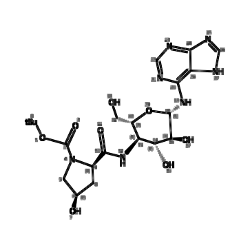 CC(C)(C)OC(=O)N1C[C@H](O)C[C@@H]1C(=O)N[C@@H]1[C@@H](O)[C@H](O)[C@@H](Nc2ncnc3nc[nH]c23)O[C@H]1CO